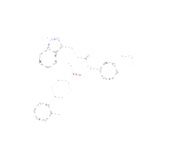 CCc1ccccc1C1CCN(C(=O)N[C@@H](C(=O)Nc2cccc(CN(C)C)c2)[C@@H](C)c2c[nH]c3ccccc23)CC1